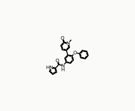 Cn1cc(-c2cc(NC(=O)c3ccc[nH]3)ccc2Oc2ccccc2)ccc1=O